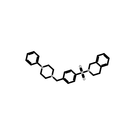 O=S(=O)(c1ccc(CN2CCN(c3ccccc3)CC2)cc1)N1CCc2ccccc2C1